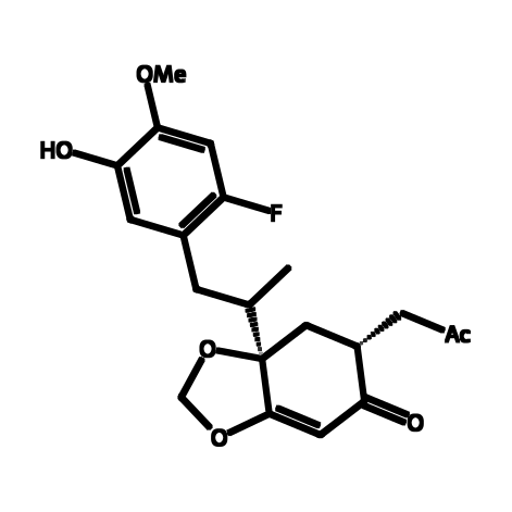 COc1cc(F)c(CC(C)[C@]23C[C@H](CC(C)=O)C(=O)C=C2OCO3)cc1O